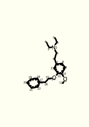 CCN(CC)CCc1ccc(OC)c(OCCc2ccccc2)c1